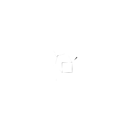 O=C1O[C@H]2C[C@@H](C2)O1